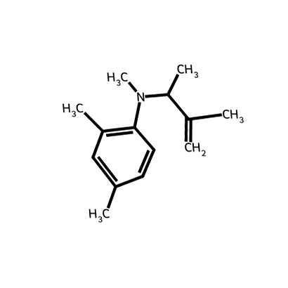 C=C(C)C(C)N(C)c1ccc(C)cc1C